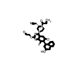 C=CC(=O)N1CCN(c2nc(OCC=O)nc3c(F)c(-c4cc(O)cc5ccccc45)c(Cl)cc23)C[C@@H]1CC#N